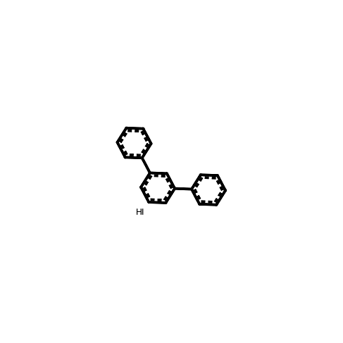 I.c1ccc(-c2cccc(-c3ccccc3)c2)cc1